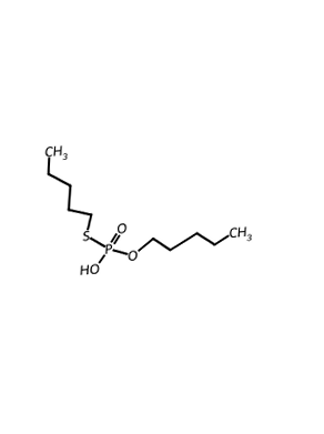 CCCCCOP(=O)(O)SCCCCC